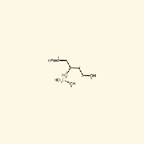 CCCCCCC(O)CCO.O=C(O)O